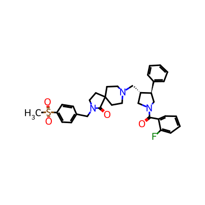 CS(=O)(=O)c1ccc(CN2CCC3(CCN(C[C@H]4CN(C(=O)c5ccccc5F)C[C@@H]4c4ccccc4)CC3)C2=O)cc1